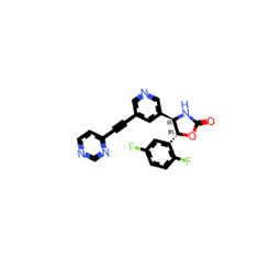 O=C1N[C@H](c2cncc(C#Cc3ccncn3)c2)[C@@H](c2cc(F)ccc2F)O1